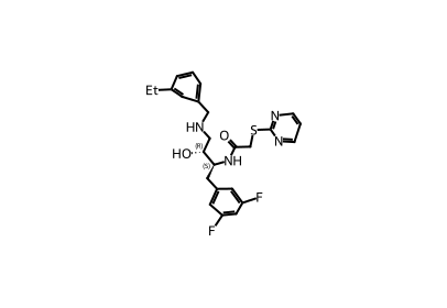 CCc1cccc(CNC[C@@H](O)[C@H](Cc2cc(F)cc(F)c2)NC(=O)CSc2ncccn2)c1